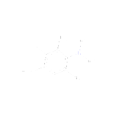 CCCN(CCC)c1c([N+](=O)[O-])cc(C(=O)O)c(C)c1[N+](=O)[O-]